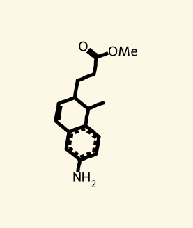 COC(=O)CCC1C=Cc2cc(N)ccc2C1C